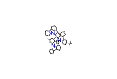 Cc1cc2c3c(c1)-n1c4ccccc4c4cccc(c41)B3N(c1ccc(C(C)(C)C)cc1-c1ccccc1)c1ccc3c4cccc5c6ccccc6n(c3c1-2)c54